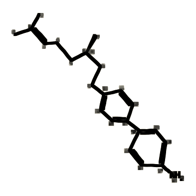 CC(C)=CCC[C@@H](C)CCc1ccc(-c2ccc(N)cc2)cc1